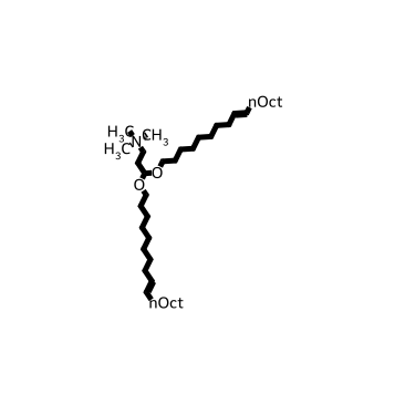 CCCCCCCCC=CCCCCCCCCOC(CC[N+](C)(C)C)OCCCCCCCCC=CCCCCCCCC